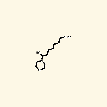 CCCCCCCCCCCCCCCC(O)N1CCOCC1